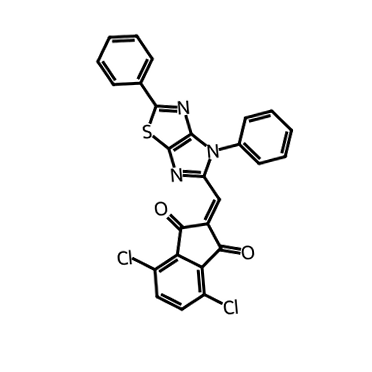 O=C1C(=Cc2nc3sc(-c4ccccc4)nc3n2-c2ccccc2)C(=O)c2c(Cl)ccc(Cl)c21